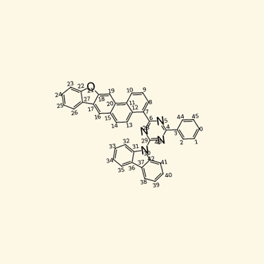 c1ccc(-c2nc(-c3cccc4c3ccc3cc5c(cc34)oc3ccccc35)nc(-n3c4ccccc4c4ccccc43)n2)cc1